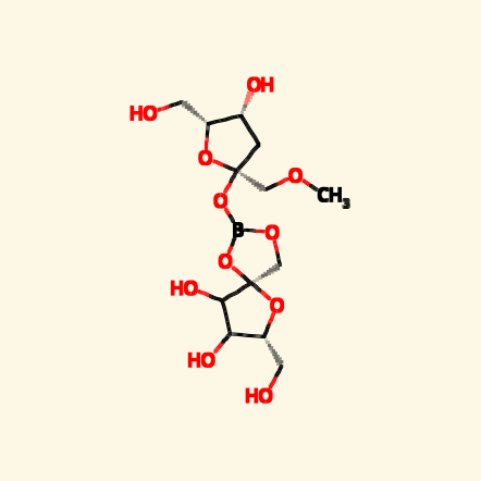 COC[C@@]1(OB2OC[C@]3(O2)O[C@H](CO)C(O)C3O)C[C@@H](O)[C@@H](CO)O1